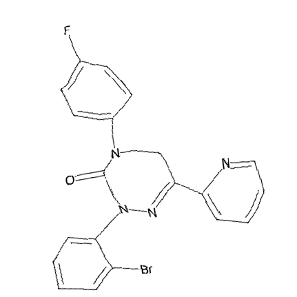 O=C1N(c2ccc(F)cc2)CC(c2ccccn2)=NN1c1ccccc1Br